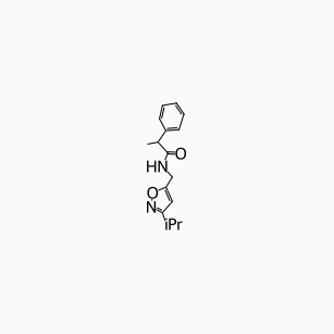 CC(C)c1cc(CNC(=O)C(C)c2ccccc2)on1